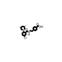 C[C@@H]1C[C@H](C)CN(c2ccc(Cl)cc2C(=O)NCCc2ccc(C(=O)O)cc2)C1